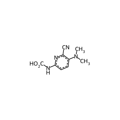 CN(C)c1ccc(NC(=O)O)nc1C#N